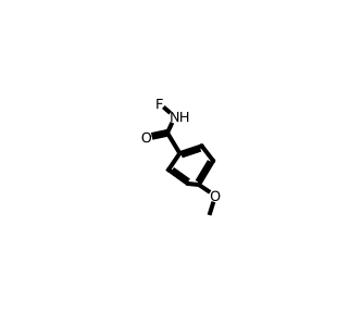 COc1ccc(C(=O)NF)cc1